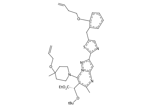 C=CCCOc1ccccc1Cc1cnc(-c2cc3nc(C)c([C@H](OC(C)(C)C)C(=O)OCC)c(N4CCC(C)(OCC=C)CC4)n3n2)s1